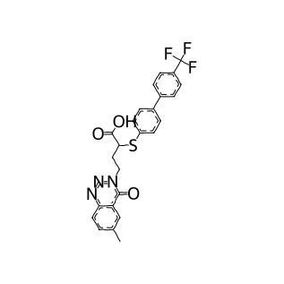 Cc1ccc2nnn(CCC(Sc3ccc(-c4ccc(C(F)(F)F)cc4)cc3)C(=O)O)c(=O)c2c1